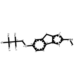 CNc1nc2c(s1)Cc1cc(OCC(F)(F)C(F)(F)F)ccc1-2